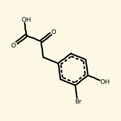 O=C(O)C(=O)Cc1ccc(O)c(Br)c1